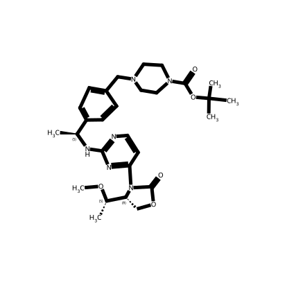 CO[C@@H](C)[C@H]1COC(=O)N1c1ccnc(N[C@@H](C)c2ccc(CN3CCN(C(=O)OC(C)(C)C)CC3)cc2)n1